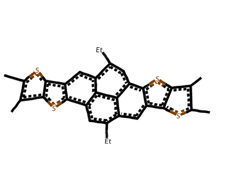 CCc1cc2c3sc4c(C)c(C)sc4c3cc3c(CC)cc4c5sc6c(C)c(C)sc6c5cc1c4c32